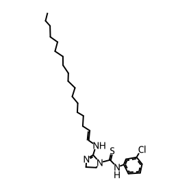 CCCCCCCCCCCCCCCCC=CNC1=NCCN1C(=S)Nc1cccc(Cl)c1